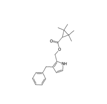 CC1(C)C(C(=O)OCc2[nH]ccc2Cc2ccccc2)C1(C)C